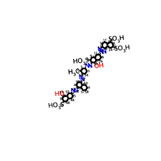 Cc1cc(N=Nc2c(S(=O)(=O)O)cc3cc(-n4nc5ccc6c(S(=O)(=O)O)cc(S(=O)(=O)O)cc6c5n4)ccc3c2O)ccc1N=Nc1ccc(N=Nc2ccc3cc(S(=O)(=O)O)cc(O)c3c2)c2ccccc12